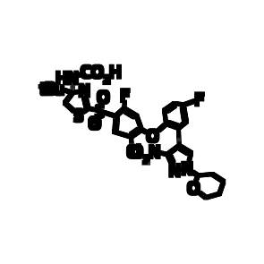 CC(C)(C)C1(NC(=O)O)CSC(S(=O)(=O)c2cc(Cl)c(Oc3ccc(F)cc3-c3cn(C4CCCCO4)nc3[N+](=O)[O-])cc2F)=N1